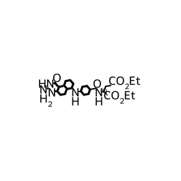 CCOC(=O)CC[C@H](NC(=O)c1ccc(Nc2cccc3c2ccc2nc(N)[nH]c(=O)c23)cc1)C(=O)OCC